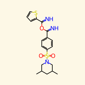 CC1CC(C)CN(S(=O)(=O)c2ccc(C(=N)OC(=N)c3cccs3)cc2)C1